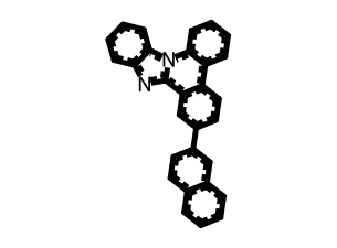 c1ccc2cc(-c3ccc4c5ccccc5n5c6ccccc6nc5c4c3)ccc2c1